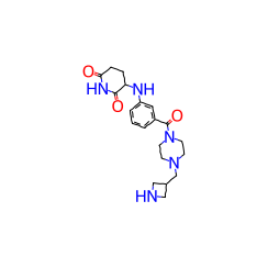 O=C1CCC(Nc2cccc(C(=O)N3CCN(CC4CNC4)CC3)c2)C(=O)N1